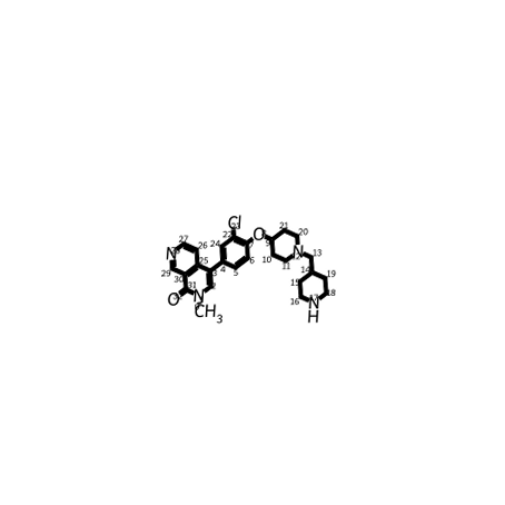 Cn1cc(-c2ccc(OC3CCN(CC4CCNCC4)CC3)c(Cl)c2)c2ccncc2c1=O